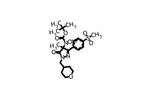 CC(C)(C)OC(=O)N(O)C1(C)C(=O)N(CC2CCOCC2)N=C1c1ccc(S(C)(=O)=O)cc1